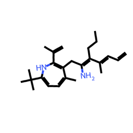 C=C/C=C(C)/C(CCC)=C(\N)CC1=C(C(=C)C)NC(C(C)(C)C)=CC=C1C